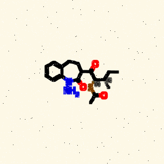 CC[C@H](C)[C@H](SC(C)=O)C(=O)C1CCc2ccccc2N(N)C1=O